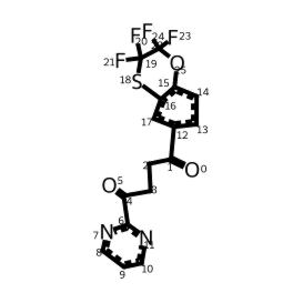 O=C(CCC(=O)c1ncccn1)c1ccc2c(c1)SC(F)(F)C(F)(F)O2